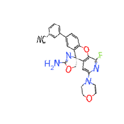 N#Cc1cccc(-c2ccc3c(c2)[C@@]2(COC(N)=N2)c2cc(N4CCOCC4)nc(F)c2O3)c1